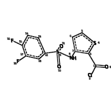 O=C(Cl)c1sccc1NS(=O)(=O)c1ccc(F)c(F)c1